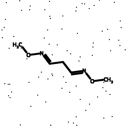 CON=CCC=NOC